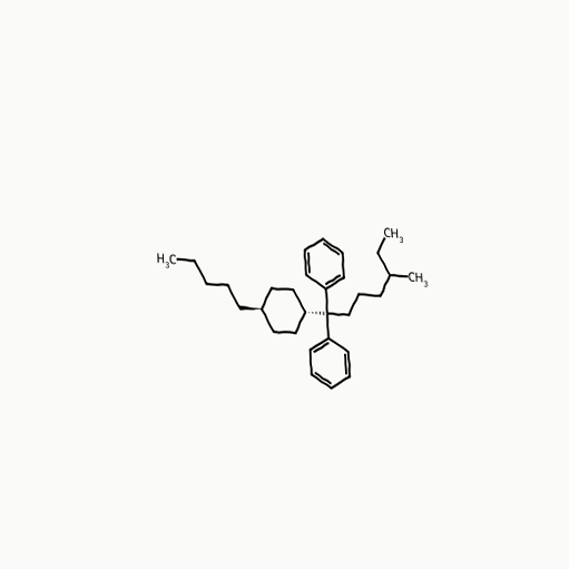 CCCCC[C@H]1CC[C@H](C(CCCC(C)CC)(c2ccccc2)c2ccccc2)CC1